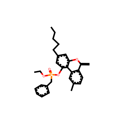 C=C1Oc2cc(CCCCC)cc(OP(=O)(Cc3ccccc3)OCC)c2-c2cc(C)ccc21